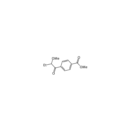 CCC(OC)C(=O)c1ccc(C(=O)OC)cc1